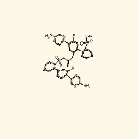 CC(Cc1cc(-c2cnc(N)cn2)c(F)cc1-c1ccccc1S(=O)(=O)C(C)(C)C)CS(=O)(=O)c1ccccc1-c1ccc(-c2cnc(N)cn2)c(F)c1